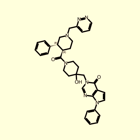 O=C([C@@H]1CCN(Cc2cccnn2)C[C@H]1c1ccccc1)N1CCC(O)(Cn2cnc3c(ccn3-c3ccccc3)c2=O)CC1